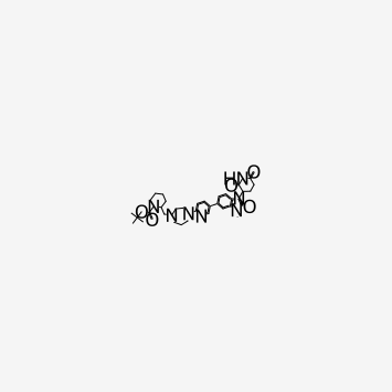 Cn1c(=O)n(C2CCC(=O)NC2=O)c2ccc(-c3ccc(N4CCCN(CC5CCCCN5C(=O)OC(C)(C)C)CC4)nc3)cc21